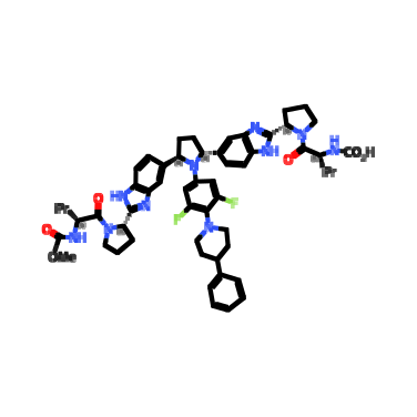 COC(=O)N[C@H](C(=O)N1CCC[C@H]1c1nc2cc([C@H]3CC[C@H](c4ccc5[nH]c([C@@H]6CCCN6C(=O)[C@@H](NC(=O)O)C(C)C)nc5c4)N3c3cc(F)c(N4CCC(c5ccccc5)CC4)c(F)c3)ccc2[nH]1)C(C)C